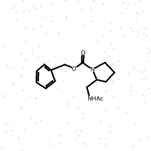 CC(=O)NCC1CCCN1C(=O)OCc1ccccc1